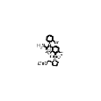 COCC1CCCN1S(=O)(=O)c1c(Cl)ccc(N(C(N)=S)c2ccccc2Br)c1O